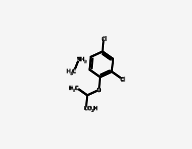 CC(Oc1ccc(Cl)cc1Cl)C(=O)O.CN